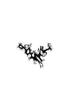 OC1(c2ccc(-c3nc4c(-c5nnc(C(F)F)o5)c[nH]c4cc3F)cc2)CCC1